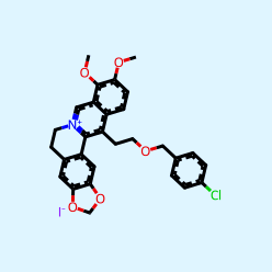 COc1ccc2c(CCOCc3ccc(Cl)cc3)c3[n+](cc2c1OC)CCc1cc2c(cc1-3)OCO2.[I-]